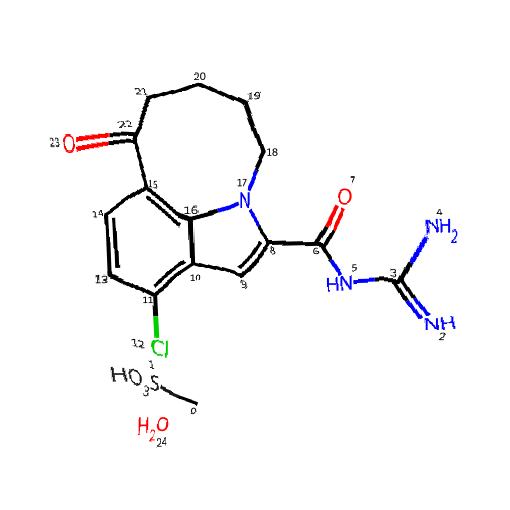 CS(=O)(=O)O.N=C(N)NC(=O)c1cc2c(Cl)ccc3c2n1CCCCC3=O.O